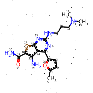 Cc1ccc(-c2nc(NCCCN(C)C)nc3sc(C(N)=O)c(N)c23)o1